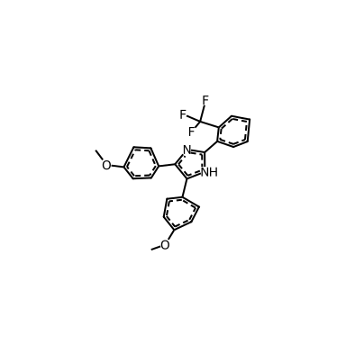 COc1ccc(-c2nc(-c3ccccc3C(F)(F)F)[nH]c2-c2ccc(OC)cc2)cc1